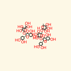 C[C@@H]1O[C@@H](OC[C@H]2O[C@@H](Oc3c(-c4ccc(O)c(O)c4)oc4cc(O)cc(O)c4c3=O)[C@H](O)[C@@H](O)[C@@H]2O)[C@H](O)[C@H](O)[C@H]1O.O=c1c(O[C@@H]2O[C@H]([C@H](O)CO)[C@H](O)[C@H]2O)c(-c2ccc(O)c(O)c2)oc2cc(O)cc(O)c12